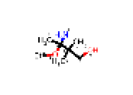 CCOC(C)(N)C(C)(C)CO